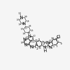 Cc1cc2nc(Nc3ccc(-c4cn([C@H]5CC[C@@H](N6CCN(C)CC6)CC5)c5ncnc(N)c45)cc3)[nH]c2cc1Cl